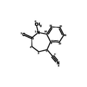 CN1C(=O)CCC(C#N)c2ccccc21